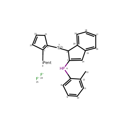 CCCC(C)C1=[C]([Ti+2][CH]2C(Pc3ccccc3C)=Cc3ccccc32)CC=C1.[F-].[F-]